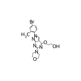 Cc1cc(Br)ccc1-n1cc2c(OCCO)nc(N3CCOCC3)nc2n1